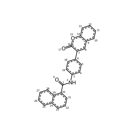 O=C(Nc1ccc(-c2cc3ccccc3oc2=O)cc1)c1cccc2ccccc12